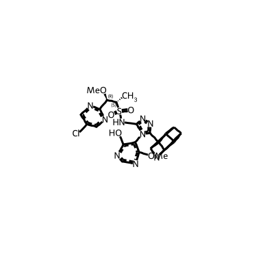 COc1ncnc(O)c1-n1c(NS(=O)(=O)[C@@H](C)[C@H](OC)c2ncc(Cl)cn2)nnc1C12C3C4C5C3C1N5C42